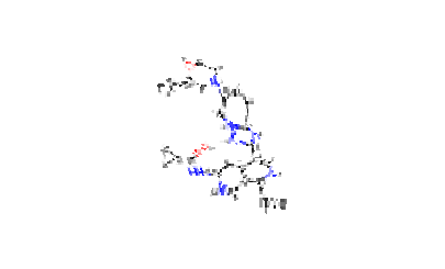 CNc1ncc(-c2nc3ccc(N4CCO[C@H](C(F)(F)F)C4)cn3n2)c2cc(NC(=O)C3CC3)ncc12